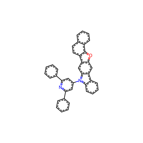 c1ccc(-c2cc(-n3c4ccccc4c4cc5oc6c7ccccc7ccc6c5cc43)cc(-c3ccccc3)n2)cc1